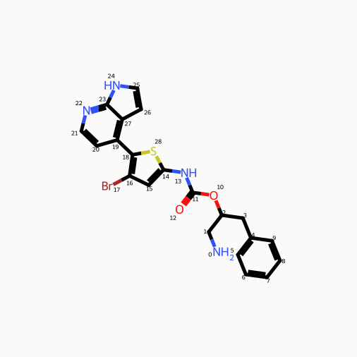 NCC(Cc1ccccc1)OC(=O)Nc1cc(Br)c(-c2ccnc3[nH]ccc23)s1